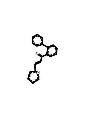 O=C(C=Cc1ccccn1)c1ccccc1-c1ccccc1